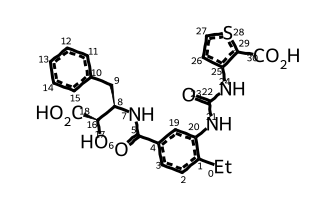 CCc1ccc(C(=O)N[C@H](Cc2ccccc2)[C@@H](O)C(=O)O)cc1NC(=O)Nc1ccsc1C(=O)O